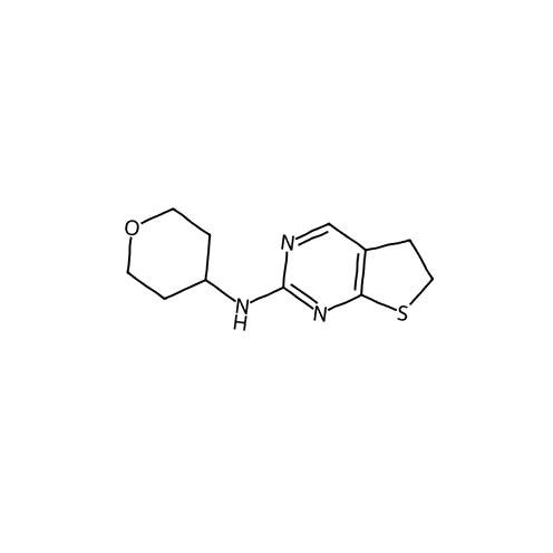 c1nc(NC2CCOCC2)nc2c1CCS2